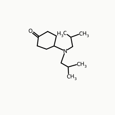 CC(C)CN(CC(C)C)C1CCC(=O)CC1